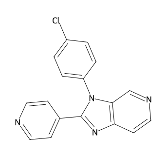 Clc1ccc(-n2c(-c3ccncc3)nc3ccncc32)cc1